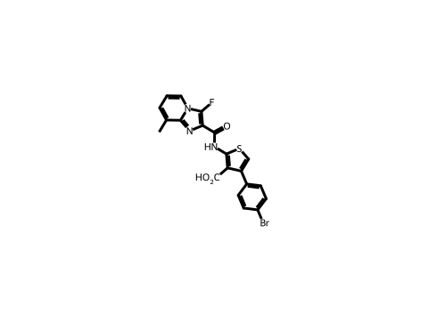 Cc1cccn2c(F)c(C(=O)Nc3scc(-c4ccc(Br)cc4)c3C(=O)O)nc12